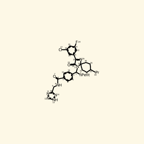 CCCCCC(c1ccc(C(=O)NCc2nn[nH]n2)cc1)N1C(=O)C(c2cc(F)cc(Cl)c2)=NC12CCC(C(C)C)CC2